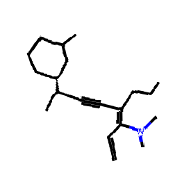 C=C/C(=C(\C#CC(C)[C@H]1CCCC(C)C1)CCC)N(C)C